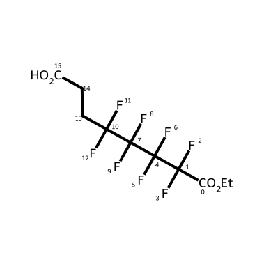 CCOC(=O)C(F)(F)C(F)(F)C(F)(F)C(F)(F)CCC(=O)O